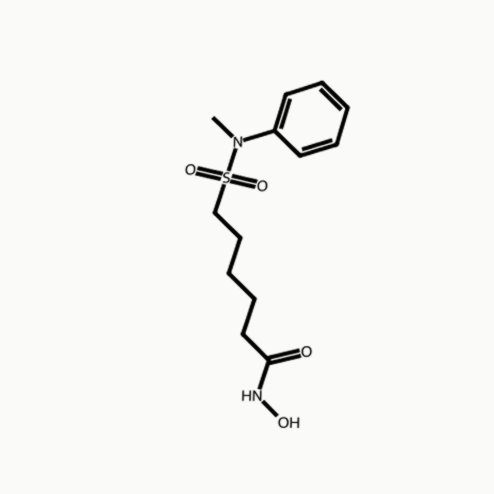 CN(c1ccccc1)S(=O)(=O)CCCCCC(=O)NO